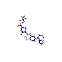 Cc1cc(C(=O)N2CC(C)(C#N)C2)nnc1N1CCc2ncc(N3CCCn4nccc43)cc2C1